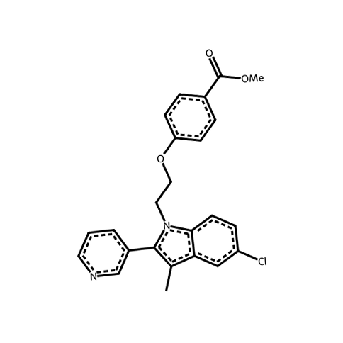 COC(=O)c1ccc(OCCn2c(-c3cccnc3)c(C)c3cc(Cl)ccc32)cc1